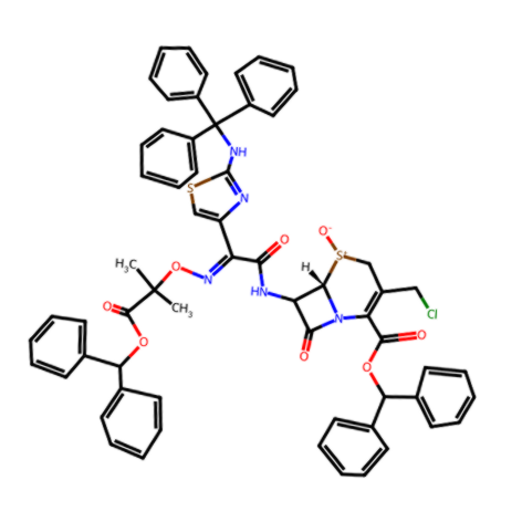 CC(C)(ON=C(C(=O)NC1C(=O)N2C(C(=O)OC(c3ccccc3)c3ccccc3)=C(CCl)C[S+]([O-])[C@@H]12)c1csc(NC(c2ccccc2)(c2ccccc2)c2ccccc2)n1)C(=O)OC(c1ccccc1)c1ccccc1